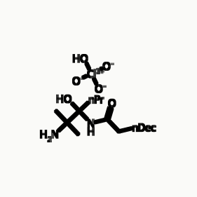 CCCCCCCCCCCC(=O)NC(O)(CCC)C(C)(C)N.[O-][Cl+3]([O-])([O-])O